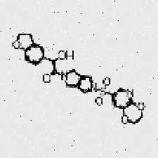 O=C(C(O)c1ccc2c(c1)CCO2)N1Cc2cn(S(=O)(=O)c3cnc4c(c3)OCCO4)cc2C1